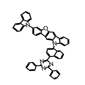 c1ccc(-c2nc(-c3ccccc3)nc(-c3ccc(-n4c5ccccc5c5cc6oc7cc(-n8c9ccccc9c9ccccc98)ccc7c6cc54)c4ccccc34)n2)cc1